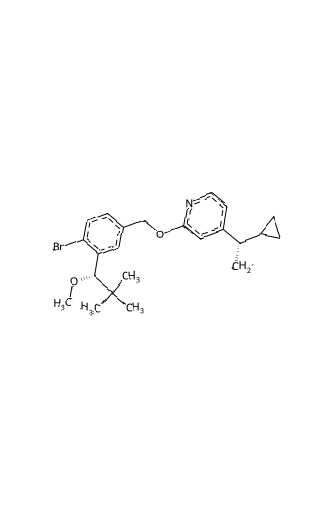 [CH2][C@H](c1ccnc(OCc2ccc(Br)c([C@@H](OC)C(C)(C)C)c2)c1)C1CC1